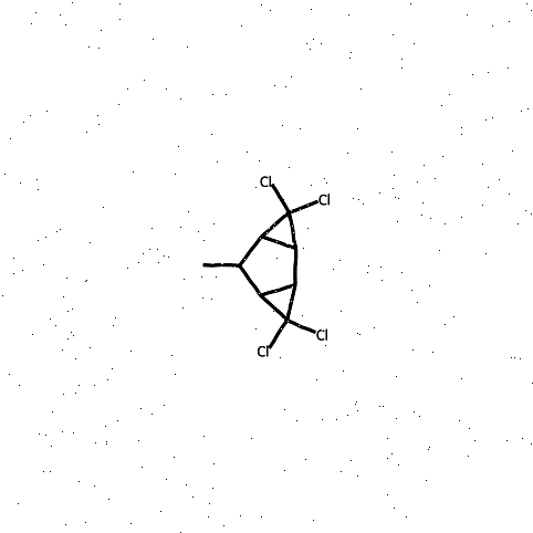 CC1C2C(C3C1C3(Cl)Cl)C2(Cl)Cl